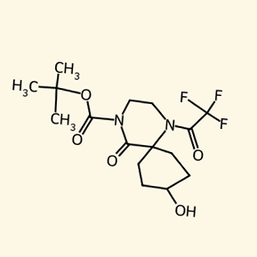 CC(C)(C)OC(=O)N1CCN(C(=O)C(F)(F)F)C2(CCC(O)CC2)C1=O